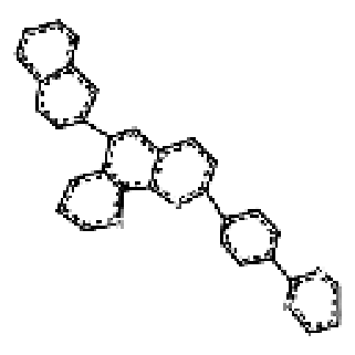 c1cnc(-c2ccc(-c3ccc4cc(-c5ccc6ccccc6c5)c5cccnc5c4n3)cc2)nc1